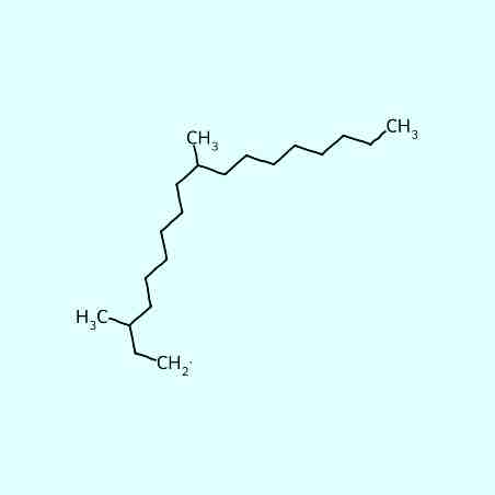 [CH2]CC(C)CCCCCCC(C)CCCCCCCC